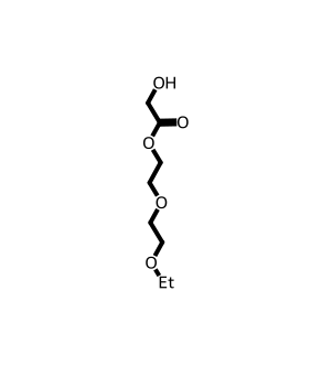 CCOCCOCCOC(=O)CO